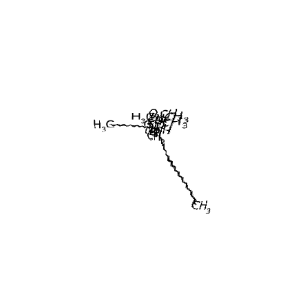 CCCCCCCCCCCCCCCCCCCCCCCCCC(=S)N[C@@H](COC1OC(COC(C)=O)C(C)C(C)C1C)[C@H](OC(C)=O)[C@@H](CCCCCCCCCCCCCC)OC(C)=O